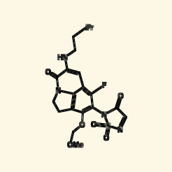 COCOc1c(N2C(=O)C=NS2(=O)=O)c(F)c2cc(NCCC(C)C)c(=O)n3c2c1CC3